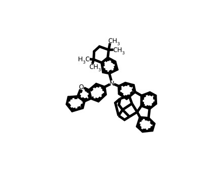 CC1(C)CCC(C)(C)c2cc(N(c3ccc(-c4cccc5c4C4(c6ccccc6-5)C5CC6CC7CC4C75C6)cc3)c3ccc4c(c3)oc3ccccc34)ccc21